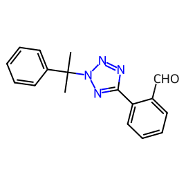 CC(C)(c1ccccc1)n1nnc(-c2ccccc2C=O)n1